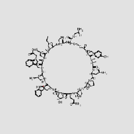 CCCC[C@H]1C(=O)N(C)[C@@H](CCCC)C(=O)N[C@@H](CN)C(=O)N[C@H](C(=O)NCC(N)=O)CSCC(=O)N[C@@H](Cc2ccc(O)cc2)C(=O)N(C)[C@@H](C)C(=O)N[C@@H](CC(N)=O)C(=O)N2CCC[C@H]2C(=O)N[C@@H](CN)C(=O)N[C@@H](CCC(N)=O)C(=O)N2C[C@H](O)C[C@H]2C(=O)N[C@@H](Cc2c[nH]c3ccccc23)C(=O)N[C@@H](CCN)C(=O)N[C@@H](Cc2cn(CC(=O)O)c3ccccc23)C(=O)N1C